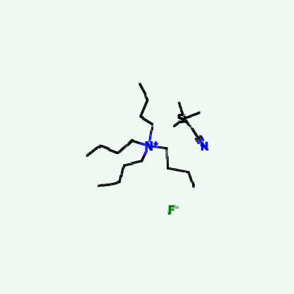 CCCC[N+](CCCC)(CCCC)CCCC.C[Si](C)(C)C#N.[F-]